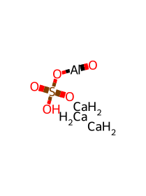 [CaH2].[CaH2].[CaH2].[O]=[Al][O]S(=O)(=O)O